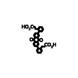 O=C(O)CCc1ccccc1-c1ccc2c(c1)C(=O)c1cc(-c3ccccc3CCC(=O)O)ccc1C2=O